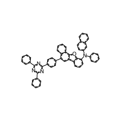 c1ccc(-c2nc(-c3ccccc3)nc(-c3ccc(-c4cc5c6cccc(N(c7ccccc7)c7ccc8ccccc8c7)c6oc5c5ccccc45)cc3)n2)cc1